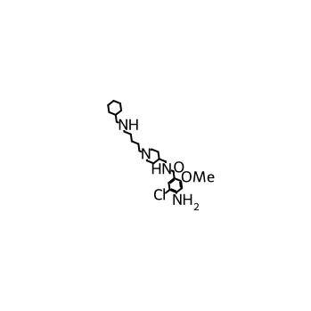 COc1cc(N)c(Cl)cc1C(=O)NCC1CCN(CCCCCNCC2CCCCC2)CC1